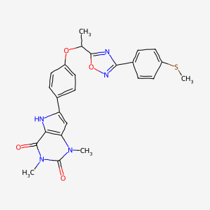 CSc1ccc(-c2noc(C(C)Oc3ccc(-c4cc5c([nH]4)c(=O)n(C)c(=O)n5C)cc3)n2)cc1